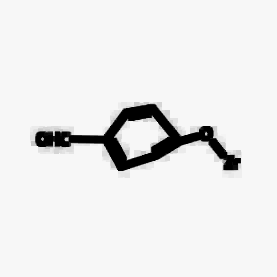 O=Cc1ccc([O][Zr])cc1